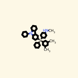 CNc1ccc([Si](c2ccccc2)(c2cc(C)cc(C)c2)c2ccc3c(c2)c2ccccc2n3-c2ccccc2)cc1